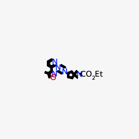 CCOC(=O)N1CC2(CCC(N3CCN(c4ncccc4-c4nocc4C)CC3)C2)C1